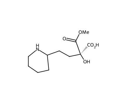 COC(=O)[C@@](O)(CCC1CCCCN1)C(=O)O